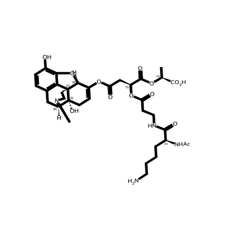 CC(=O)N[C@@H](CCCCN)C(=O)NCCC(=O)O[C@@H](CC(=O)OC1=CC[C@@]2(O)[C@H]3Cc4ccc(O)c5c4[C@@]2(CCN3C)[C@H]1O5)C(=O)O[C@@H](C)C(=O)O